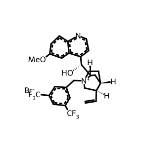 C=C[C@H]1C[N+]2(Cc3cc(C(F)(F)F)cc(C(F)(F)F)c3)CC[C@H]1C[C@H]2[C@H](O)c1ccnc2ccc(OC)cc12.[Br-]